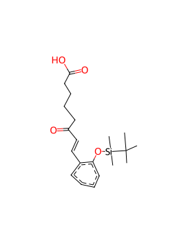 CC(C)(C)[Si](C)(C)Oc1ccccc1C=CC(=O)CCCCC(=O)O